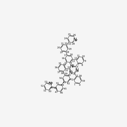 c1ccc(-c2nc(-c3ccccc3-c3cccc(-c4cccc(-c5cccnc5)c4)c3)nc(-c3ccccc3-c3cccc(-c4cccc(-c5ccccn5)c4)c3)n2)cc1